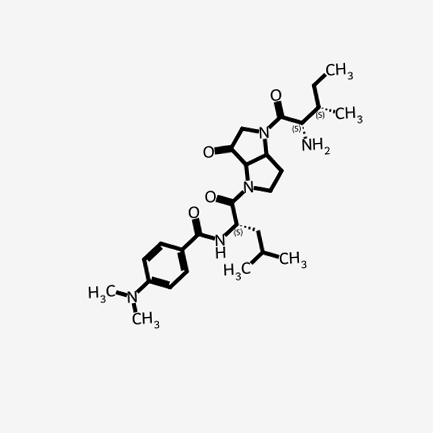 CC[C@H](C)[C@H](N)C(=O)N1CC(=O)C2C1CCN2C(=O)[C@H](CC(C)C)NC(=O)c1ccc(N(C)C)cc1